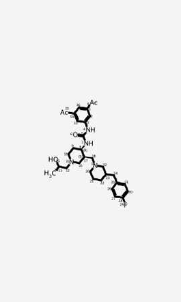 CC(=O)c1cc(NC(=O)N[C@@H]2CCN(CC(C)O)C[C@@H]2CN2CCCC(Cc3ccc(F)cc3)C2)cc(C(C)=O)c1